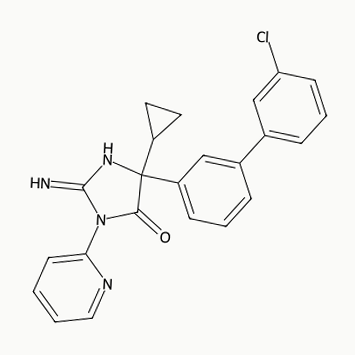 N=C1NC(c2cccc(-c3cccc(Cl)c3)c2)(C2CC2)C(=O)N1c1ccccn1